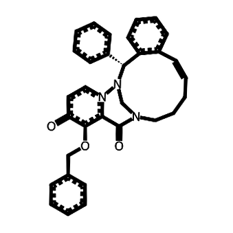 O=C1c2c(OCc3ccccc3)c(=O)ccn2N2CN1CCC/C=C\c1ccccc1[C@H]2c1ccccc1